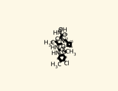 COc1cc(Cl)c(C)cc1NC(=O)N[C@H](C(=O)N(CC(=O)NO)CC1CCC1)C(C)C